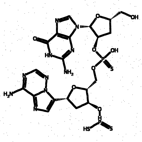 Nc1nc2c(ncn2[C@@H]2O[C@H](CO)C[C@H]2OP(O)(=S)OC[C@H]2O[C@@H](c3cnc4c(N)ncnn34)C[C@@H]2O[PH](=S)S)c(=O)[nH]1